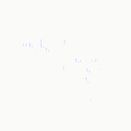 C=C1CN(c2cc(F)c(/C=N/NC(N)=S)cc2F)CC(=C)N1C(=O)c1ccc(Cl)cc1F